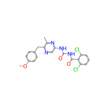 COc1ccc(Cc2ncc(NC(=O)NC(=O)c3c(Cl)cccc3Cl)nc2C)cc1